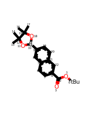 CC(C)(C)OC(=O)c1ccc2cc(B3OC(C)(C)C(C)(C)O3)ccc2c1